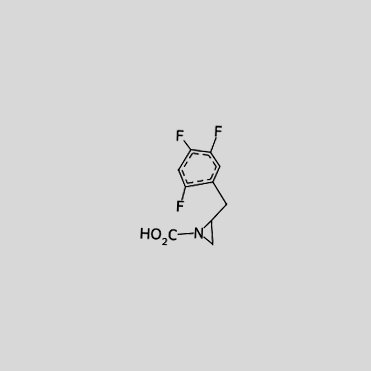 O=C(O)N1CC1Cc1cc(F)c(F)cc1F